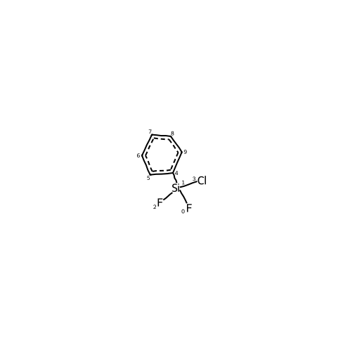 F[Si](F)(Cl)c1ccccc1